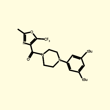 Cc1nc(C(=O)N2CCN(c3cc(C(C)(C)C)cc(C(C)(C)C)c3)CC2)c(C(F)(F)F)o1